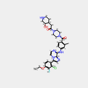 Cc1cc(Nc2nccn3c(-c4ccc(OCC#N)c(F)c4Cl)cnc23)ccc1C(=O)N1CCN(C(=O)CC2CCNC[C@@H]2O)CC1